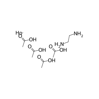 CC(=O)O.CC(=O)O.CC(=O)O.CC(=O)O.NCCN.[Ho]